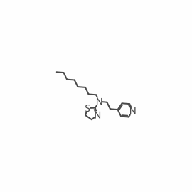 CCCCCCCCN(CCc1ccncc1)C1=NCCS1